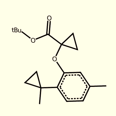 Cc1ccc(C2(C)CC2)c(OC2(C(=O)OC(C)(C)C)CC2)c1